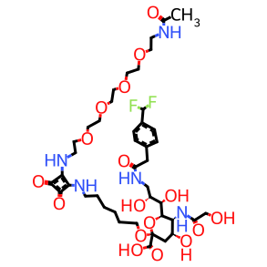 CC(=O)NCCOCCOCCOCCOCCNc1c(NCCCCCCO[C@]2(C(=O)O)C[C@H](O)[C@@H](NC(=O)CO)[C@H]([C@H](O)[C@H](O)CNC(=O)Cc3ccc(C(F)F)cc3)O2)c(=O)c1=O